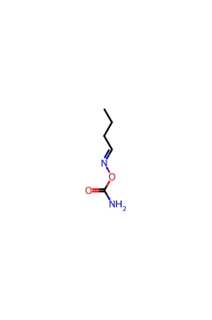 CCCC=NOC(N)=O